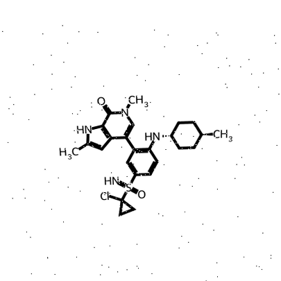 Cc1cc2c(-c3cc(S(=N)(=O)C4(Cl)CC4)ccc3N[C@H]3CC[C@H](C)CC3)cn(C)c(=O)c2[nH]1